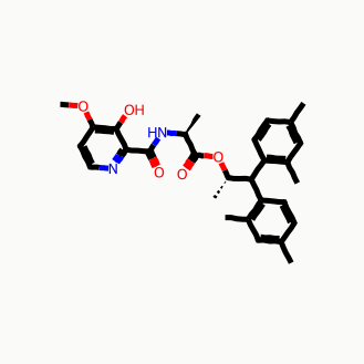 COc1ccnc(C(=O)N[C@@H](C)C(=O)O[C@@H](C)C(c2ccc(C)cc2C)c2ccc(C)cc2C)c1O